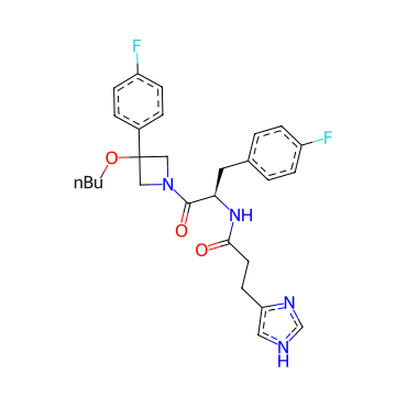 CCCCOC1(c2ccc(F)cc2)CN(C(=O)[C@@H](Cc2ccc(F)cc2)NC(=O)CCc2c[nH]cn2)C1